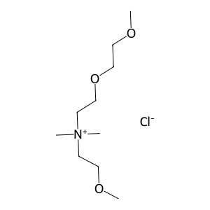 COCCOCC[N+](C)(C)CCOC.[Cl-]